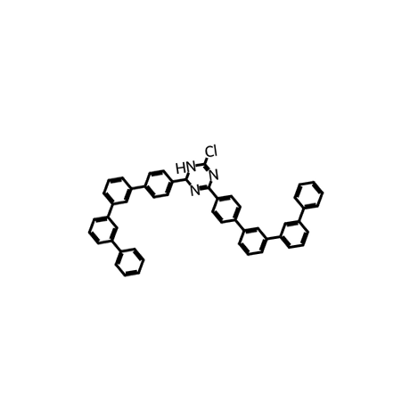 ClC1=NC(c2ccc(-c3cccc(-c4cccc(-c5ccccc5)c4)c3)cc2)=NC(c2ccc(-c3cccc(-c4cccc(-c5ccccc5)c4)c3)cc2)N1